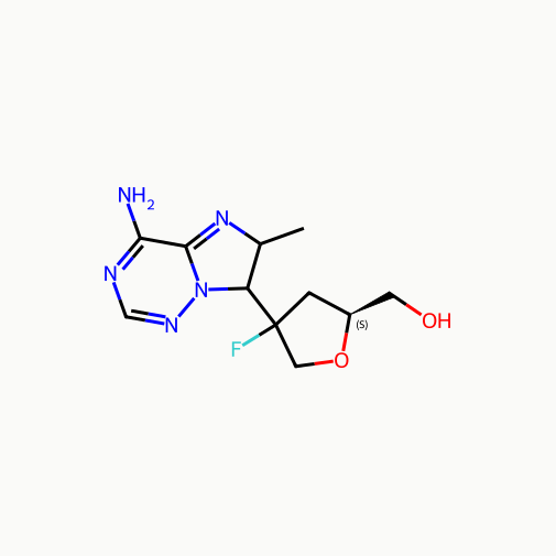 CC1N=C2C(N)=NC=NN2C1C1(F)CO[C@H](CO)C1